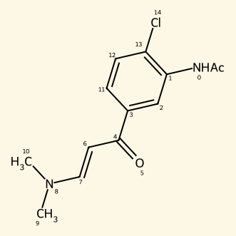 CC(=O)Nc1cc(C(=O)/C=C/N(C)C)ccc1Cl